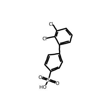 O=S(=O)(O)c1ccc(-c2cccc(Cl)c2Cl)cc1